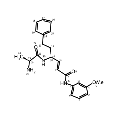 COc1cccc(NC(=O)C=C[C@H](CCc2ccccc2)NC(=O)[C@H](C)N)c1